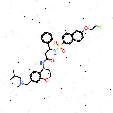 CC(C)CN(C)Cc1ccc2c(c1)OCCC2NC(=O)CC(NS(=O)(=O)c1ccc2cc(OCCF)ccc2c1)c1ccccc1